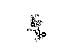 COCCc1nc2c(N)nc3ccccc3c2n1CCCN(Cc1cccc(OCC(=O)OC(C)C)c1)C(=O)CN(C)C